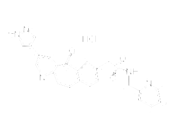 Cl.Cn1cc(-c2cnc3ccc4ccc(CS(=O)(=O)NCc5ccccn5)cc4c(=O)c3c2)cn1